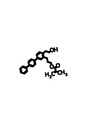 C=C(C)C(=O)OCCCc1cc(-c2ccc(-c3ccccc3)cc2)ccc1CCO